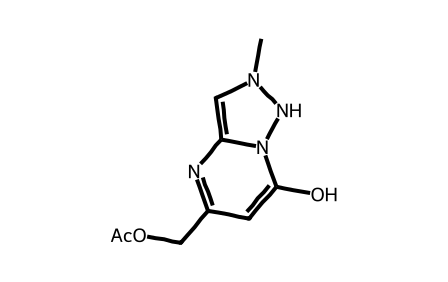 CC(=O)OCC1=NC2=CN(C)NN2C(O)=C1